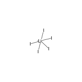 [I][Li]([I])([I])([I])[I]